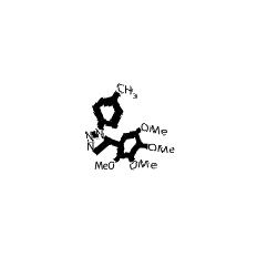 COc1cc(-c2cnnn2-c2ccc(C)cc2)c(OC)c(OC)c1OC